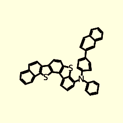 c1ccc(N(c2ccc(-c3ccc4ccccc4c3)cc2)c2cccc3c2sc2ccc4c5ccc6ccccc6c5sc4c23)cc1